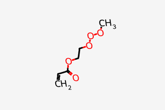 C=CC(=O)OCCOOOC